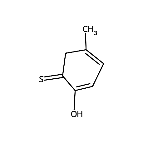 CC1=CC=C(O)C(=S)C1